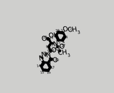 COc1ccc(N(C(CCn2nnc3ccccc3c2=O)C(=O)O)S(C)(=O)=O)cc1